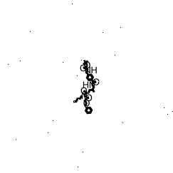 CCCCCN(C(=O)CCC(C)CNC(=O)c1ccc(CNC(=O)OC(C)(C)C)cc1)C(=O)COCc1ccccc1